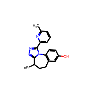 CCCC1CCc2cc(O)ccc2-n2c(-c3cccc(C)n3)nnc21